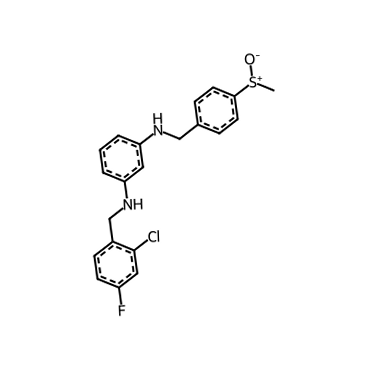 C[S+]([O-])c1ccc(CNc2cccc(NCc3ccc(F)cc3Cl)c2)cc1